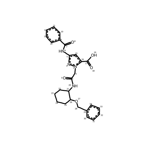 O=C(Cn1nc(NC(=O)c2ccccc2)cc1C(=O)O)NC1CCCCC1OCc1ccccc1